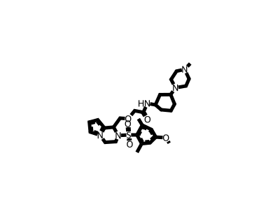 COc1cc(C)c(S(=O)(=O)N2CCn3cccc3C2COCC(=O)NC2CCCC(N3CCN(C)CC3)C2)c(C)c1